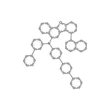 c1ccc(-c2ccc(-c3ccc(N(c4cccc(-c5ccccc5)c4)c4cc5c(oc6cccc(-c7cccc8ccccc78)c65)c5ccccc45)cc3)cc2)cc1